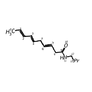 C/C=C/C=C/C/C=C/CC(=O)NCC(C)C